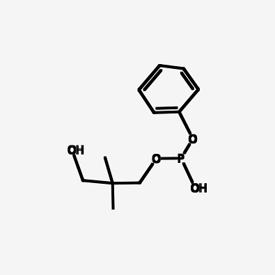 CC(C)(CO)COP(O)Oc1ccccc1